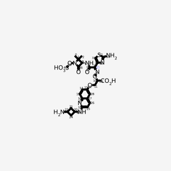 CC1(C)[C@H](NC(=O)/C(=N\OC(COc2ccc3nc(NC4CC(N)C4)ccc3c2)C(=O)O)c2csc(N)n2)C(=O)N1OS(=O)(=O)O